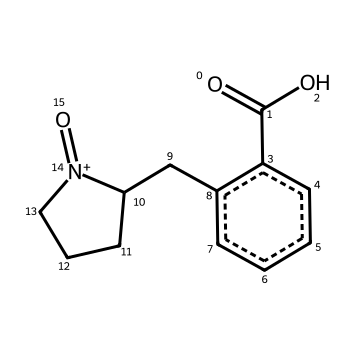 O=C(O)c1ccccc1CC1CCC[N+]1=O